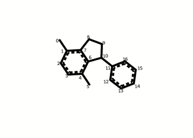 Cc1ccc(C)c2c1CCC2c1ccccc1